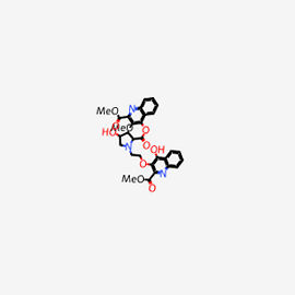 COC(=O)c1nc2ccccc2c(O)c1OCCN1CC(O)CC1C(=O)Oc1c(OC)c(C(=O)OC)nc2ccccc12